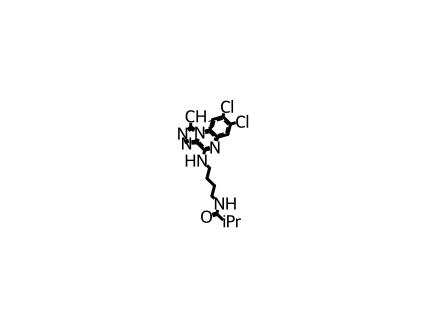 Cc1nnc2c(NCCCCNC(=O)C(C)C)nc3cc(Cl)c(Cl)cc3n12